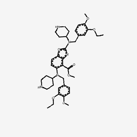 CCOc1cc(CN(c2nc3c(C(=O)OC)c(N(Cc4ccc(OC)c(OCC)c4)C4CCNCC4)ccc3o2)C2CCNCC2)ccc1OC